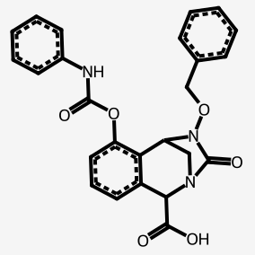 O=C(Nc1ccccc1)Oc1cccc2c1C1CN(C(=O)N1OCc1ccccc1)C2C(=O)O